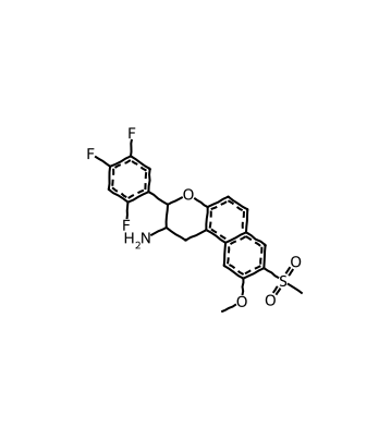 COc1cc2c3c(ccc2cc1S(C)(=O)=O)OC(c1cc(F)c(F)cc1F)C(N)C3